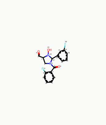 O=CC1CN(C(=O)c2ccccc2F)C(c2cccc(F)c2)N1O